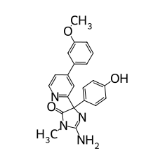 COc1cccc(-c2ccnc(C3(c4ccc(O)cc4)N=C(N)N(C)C3=O)c2)c1